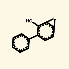 Oc1c(-c2ccccc2)ccc2c1O2